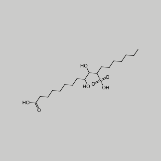 CCCCCCCC(C(O)C(O)CCCCCCCC(=O)O)S(=O)(=O)O